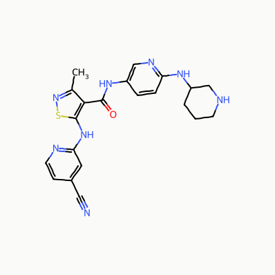 Cc1nsc(Nc2cc(C#N)ccn2)c1C(=O)Nc1ccc(NC2CCCNC2)nc1